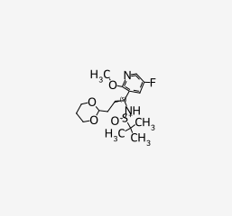 COc1ncc(F)cc1[C@H](CCC1OCCCO1)N[S+]([O-])C(C)(C)C